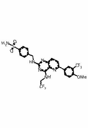 COc1ccc(-c2ccc3nc(NCc4ccc(S(N)(=O)=O)cc4)nc(NCC(F)(F)F)c3n2)cc1C(F)(F)F